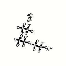 O=P([O-])([O-])P(=O)([O-])[O-].O=P([O-])([O-])P(=O)([O-])[O-].O=P([O-])([O-])P(=O)([O-])[O-].[Al+3].[Al+3].[Al+3].[Al+3]